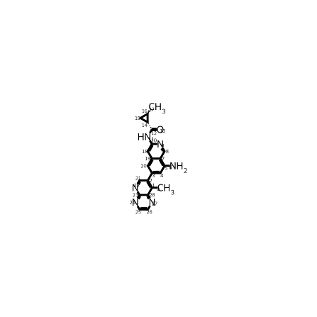 Cc1c(-c2cc(N)c3cnc(NC(=O)[C@@H]4C[C@H]4C)cc3c2)cnc2nccnc12